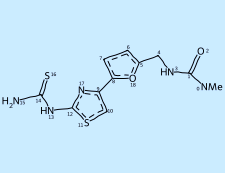 CNC(=O)NCc1ccc(-c2csc(NC(N)=S)n2)o1